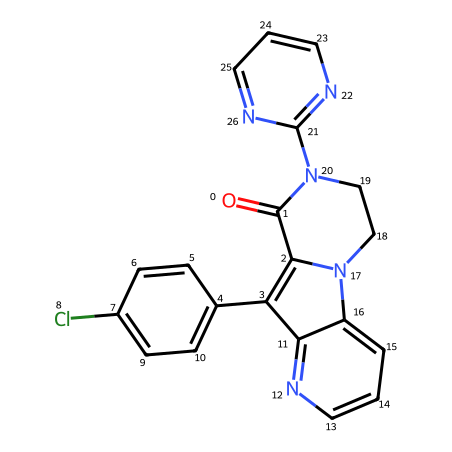 O=C1c2c(-c3ccc(Cl)cc3)c3ncccc3n2CCN1c1ncccn1